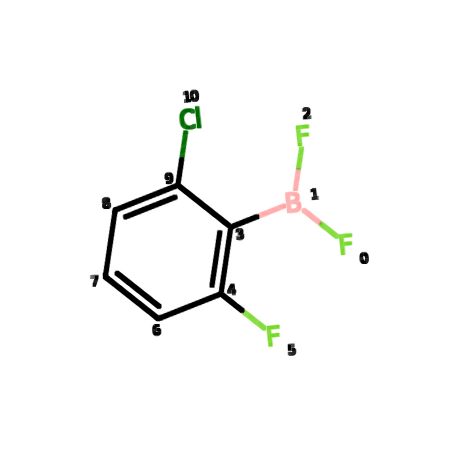 FB(F)c1c(F)cccc1Cl